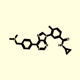 Cc1ccc(C(=O)NC2CC2)cc1-n1cnc2c(-c3ccc(CN(C)C)cc3)ncnc21